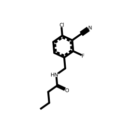 CCCC(=O)NCc1ccc(Cl)c(C#N)c1F